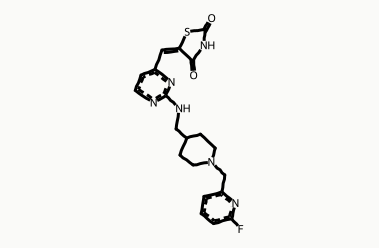 O=C1NC(=O)/C(=C\c2ccnc(NCC3CCN(Cc4cccc(F)n4)CC3)n2)S1